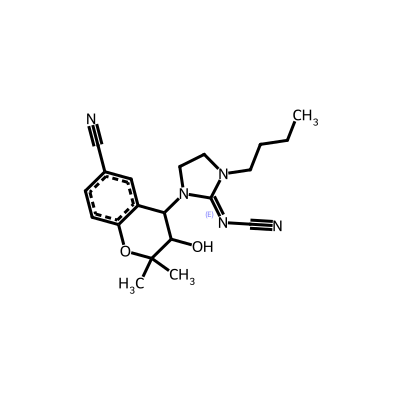 CCCCN1CCN(C2c3cc(C#N)ccc3OC(C)(C)C2O)/C1=N/C#N